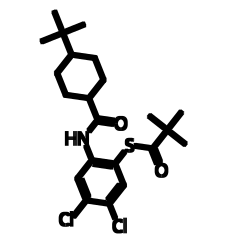 CC(C)(C)C(=O)Sc1cc(Cl)c(Cl)cc1NC(=O)C1CCC(C(C)(C)C)CC1